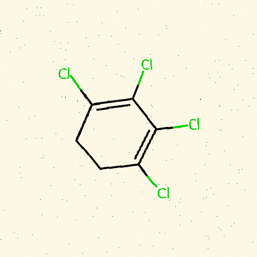 ClC1=C(Cl)C(Cl)=C(Cl)CC1